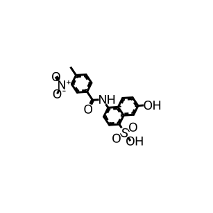 Cc1ccc(C(=O)Nc2ccc(S(=O)(=O)O)c3cc(O)ccc23)cc1[N+](=O)[O-]